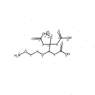 NOCCOC(CC(=O)O)C(CC(=O)O)(CC(=O)O)ON